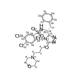 CCn1c(OCCCN2CCOCC2)nnc1[C@@H](Cc1ccccc1)NS(=O)(=O)c1ccc(Cl)c(Cl)c1